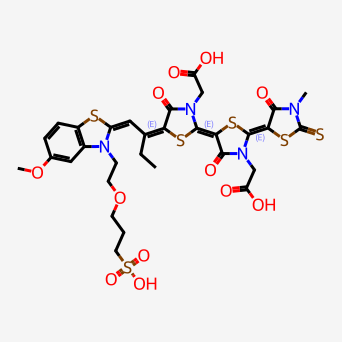 CC/C(C=C1Sc2ccc(OC)cc2N1CCOCCCS(=O)(=O)O)=c1\s/c(=c2/s/c(=C3/SC(=S)N(C)C3=O)n(CC(=O)O)c2=O)n(CC(=O)O)c1=O